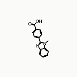 Cn1c(-c2ccc(C(=O)O)cc2)nc2ccccc21